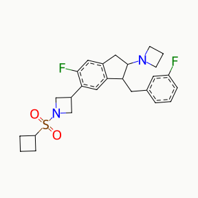 O=S(=O)(C1CCC1)N1CC(c2cc3c(cc2F)CC(N2CCC2)C3Cc2cccc(F)c2)C1